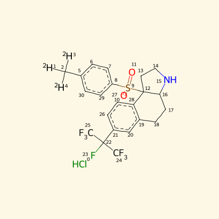 Cl.[2H]C([2H])([2H])c1ccc(S(=O)(=O)C23CCNC2CCc2cc(C(F)(C(F)(F)F)C(F)(F)F)ccc23)cc1